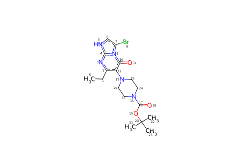 CCc1nc2[nH]cc(Br)n2c(=O)c1N1CCN(C(=O)OC(C)(C)C)CC1